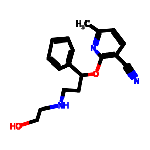 Cc1ccc(C#N)c(OC(CCNCCO)c2ccccc2)n1